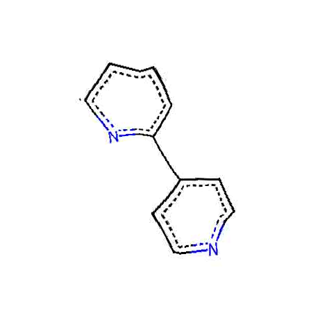 [c]1cccc(-c2ccncc2)n1